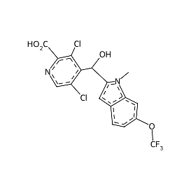 Cn1c(C(O)c2c(Cl)cnc(C(=O)O)c2Cl)cc2ccc(OC(F)(F)F)cc21